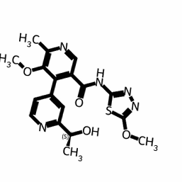 COc1nnc(NC(=O)c2cnc(C)c(OC)c2-c2ccnc([C@H](C)O)c2)s1